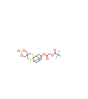 CC(F)(F)C(=O)OCC(=O)OC12CC3CC(C1)C1(SCC4(COS(=O)OC4)CS1)C(C3)C2